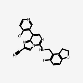 N#Cc1cn2c(NCc3c(F)ccc4c3CCO4)ncc(-c3cnccc3Cl)c2n1